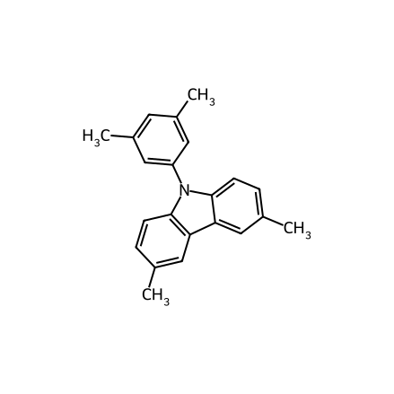 Cc1cc(C)cc(-n2c3ccc(C)cc3c3cc(C)ccc32)c1